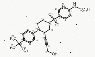 O=C(O)Nc1ccc(S(=O)(=O)N2CCN(c3ccc(C(O)(C(F)(F)F)C(F)(F)F)cc3)C(C#CCO)C2)cn1